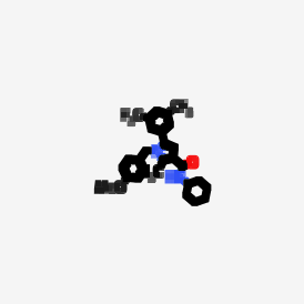 COc1ccc(Cn2c(-c3cc(C(F)(F)F)cc(C(F)(F)F)c3)cc(C(=O)NC3CCCCC3)c2C)cc1